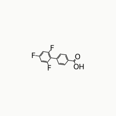 O=C(O)c1ccc(-c2c(F)cc(F)cc2F)cc1